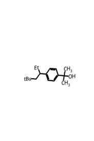 CCC(CC(C)(C)C)c1ccc(C(C)(C)O)cc1